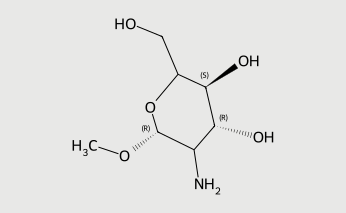 CO[C@@H]1OC(CO)[C@@H](O)[C@H](O)C1N